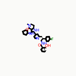 CN1CCc2[nH]c(-c3ccnc(C[C@@H](CNC(=O)c4ccccc4O)c4ccc(F)cc4)c3)c(Nc3ccccc3)c2C1=O